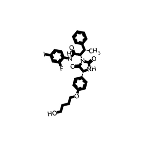 C[C@@H](c1ccccc1)[C@@H](C(=O)Nc1ccc(I)cc1F)N1C(=O)N[C@H](c2ccc(OCCCCO)cc2)C1=O